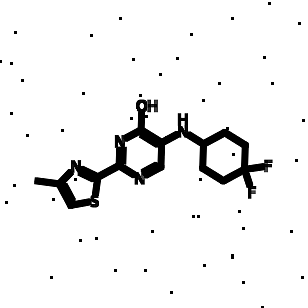 Cc1csc(-c2ncc(NC3CCC(F)(F)CC3)c(O)n2)n1